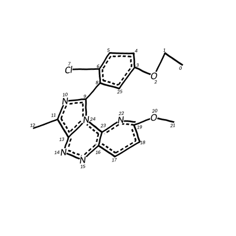 CCOc1ccc(Cl)c(-c2nc(C)c3nnc4ccc(OC)nc4n23)c1